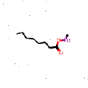 CCCCCCCC(=O)OPC